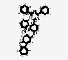 O=P1(c2ccccc2)c2cc(-c3nc(-c4ccccc4)nc(-c4ccccc4)n3)ccc2Oc2cc3c(cc21)sc1ccccc13